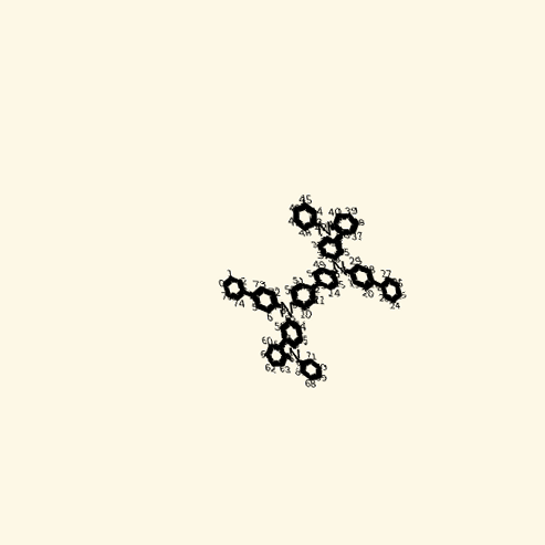 c1ccc(-c2ccc(N(c3ccc(-c4ccc(N(c5ccc(-c6ccccc6)cc5)c5ccc6c(c5)c5ccccc5n6-c5ccccc5)cc4)cc3)c3ccc4c(c3)c3ccccc3n4-c3ccccc3)cc2)cc1